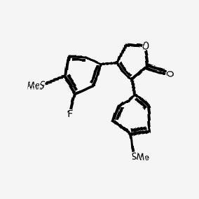 CSc1ccc(C2=C(c3ccc(SC)c(F)c3)COC2=O)cc1